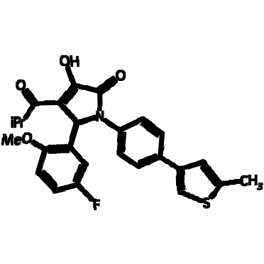 COc1ccc(F)cc1C1C(C(=O)C(C)C)=C(O)C(=O)N1c1ccc(-c2csc(C)c2)cc1